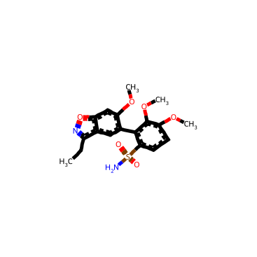 CCc1noc2cc(OC)c(-c3c(S(N)(=O)=O)ccc(OC)c3OC)cc12